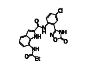 CCC(=O)Nc1cccc2cc(C(=O)Nc3ccc(Cl)cc3-c3noc(=O)[nH]3)[nH]c12